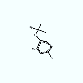 CCC(C)(C)Oc1ccc(Br)cc1F